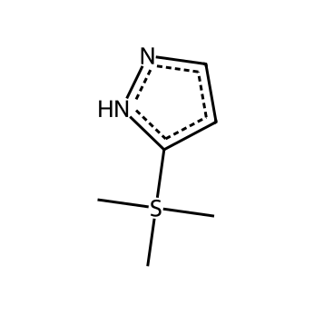 CS(C)(C)c1ccn[nH]1